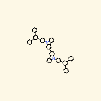 C1=CC(c2cc(C3=CCC(n4c5c(c6ccccc64)C=C(C4=CCC6C(C4)C4=C(CCC=C4)N6c4ccc(C6CC(c7ccccc7)=CC(C7C=CCCC7)C6)cc4)CC5)CC3)cc(-c3ccccc3)c2)=CCC1